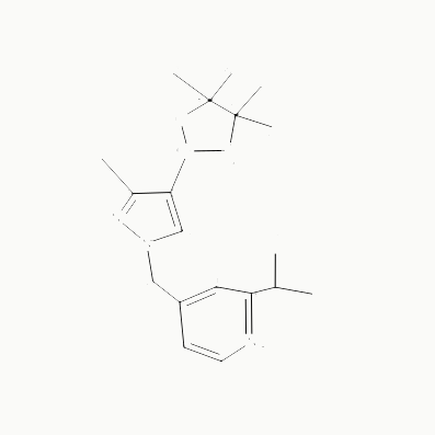 Cc1nn(Cc2ccnc(C(F)F)c2)cc1B1OC(C)(C)C(C)(C)O1